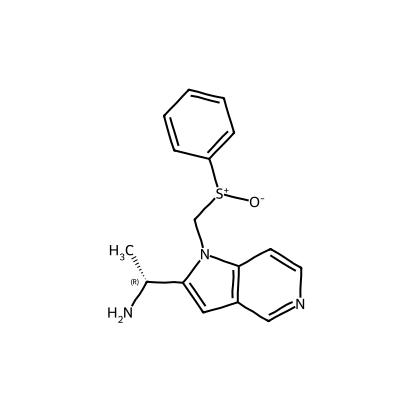 C[C@@H](N)c1cc2cnccc2n1C[S+]([O-])c1ccccc1